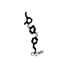 CC=C1CCCC(Sc2ccc(Sc3ccc(/C=C/C(=O)OC)cc3)cc2)C1C